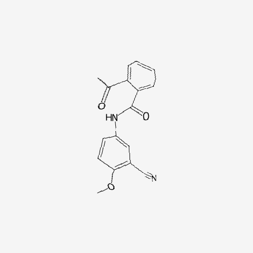 COc1ccc(NC(=O)c2ccccc2C(C)=O)cc1C#N